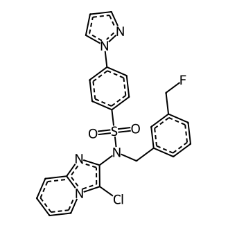 O=S(=O)(c1ccc(-n2cccn2)cc1)N(Cc1cccc(CF)c1)c1nc2ccccn2c1Cl